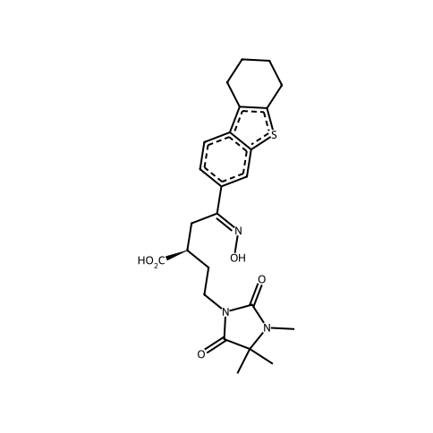 CN1C(=O)N(CC[C@H](CC(=NO)c2ccc3c4c(sc3c2)CCCC4)C(=O)O)C(=O)C1(C)C